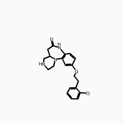 O=C1CC2CNCCN2c2cc(OCCc3ccccc3Cl)ccc2N1